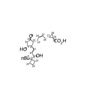 CCCCC1(C(O)/C=C/[C@H]2[C@H](O)CC(=O)[C@@H]2C/C=C\C[C@@H]2C[C@H]2C(=O)O)CCC1